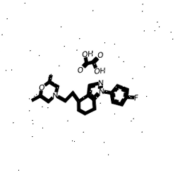 CC1CN(CCC2CCCc3c2cnn3-c2ccc(F)cc2)CC(C)O1.O=C(O)C(=O)O